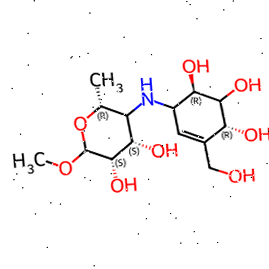 COC1O[C@H](C)C(NC2C=C(CO)[C@@H](O)C(O)[C@@H]2O)[C@H](O)[C@@H]1O